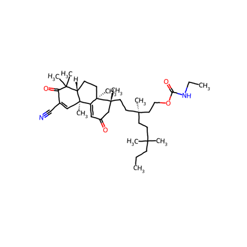 CCCC(C)(C)CC[C@](C)(CCOC(=O)NCC)CC[C@]1(C)CC(=O)C=C2[C@@]3(C)C=C(C#N)C(=O)C(C)(C)[C@@H]3CC[C@]21C